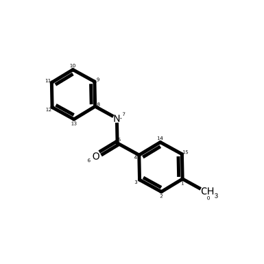 Cc1ccc(C(=O)[N]c2ccccc2)cc1